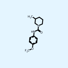 CC1CCCN(C(=O)Nc2ccc(OC(F)(F)F)cc2)C1